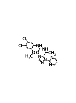 COc1cc(Cl)c(Cl)cc1NC(=O)N[C@@H](C)c1ncnn1-c1ncccn1